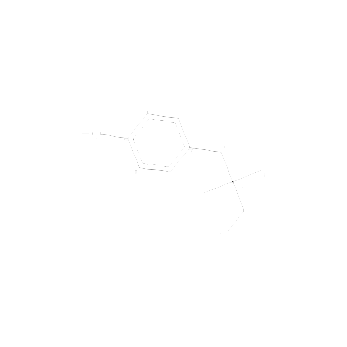 CC(C)CC(C)(C)Cc1ccc(O)cc1